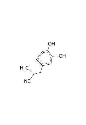 CC(C#N)Cc1ccc(O)c(O)c1